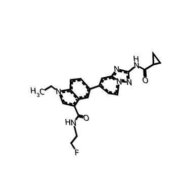 CCn1cc(C(=O)NCCF)c2cc(-c3ccn4nc(NC(=O)C5CC5)nc4c3)ccc21